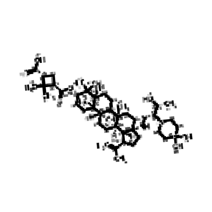 C=C(C)[C@@H]1CC[C@]2(NC[C@H]([C@@H](C)O)N3CCS(O)(O)CC3)CC[C@]3(C)[C@H](CC[C@@H]4[C@@]5(C)CC[C@H](OC(=O)[C@H]6C[C@@H](C(=O)O)C6(C)C)C(C)(C)[C@@H]5CC[C@]43C)[C@@H]12